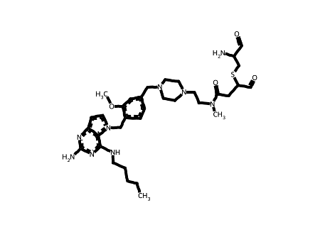 CCCCCNc1nc(N)nc2ccn(Cc3ccc(CN4CCN(CCN(C)C(=O)CC(C=O)SCC(N)C=O)CC4)cc3OC)c12